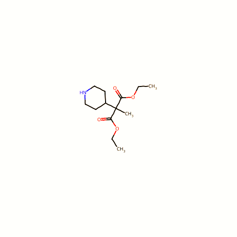 CCOC(=O)C(C)(C(=O)OCC)C1CCNCC1